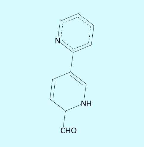 O=CC1C=CC(c2ccccn2)=CN1